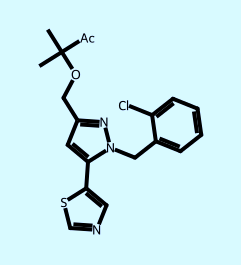 CC(=O)C(C)(C)OCc1cc(-c2cncs2)n(Cc2ccccc2Cl)n1